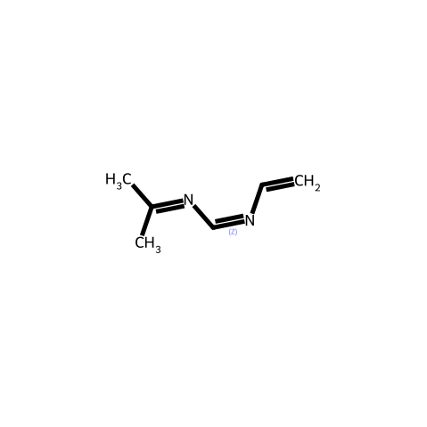 C=C/N=C\N=C(C)C